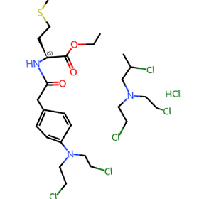 CC(Cl)CN(CCCl)CCCl.CCOC(=O)[C@H](CCSC)NC(=O)Cc1ccc(N(CCCl)CCCl)cc1.Cl